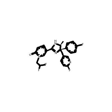 C[C@@H]1NC(c2ccc(=O)n(CC(F)F)c2)=N[C@@]1(c1ccc(F)cc1)c1ccc(F)nc1